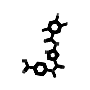 Cc1cc(F)c(F)cc1C(=O)Nc1cc(C(=O)N(C)c2ccc(C(=O)O)cc2)n[nH]1